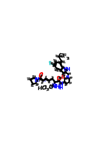 O=C(O)NC(CC/C=C/C(=O)N1CCCC1)C(=O)Nc1cccn(Cc2cc3cc(F)cc(CCC(F)(F)F)c3[nH]2)c1=O